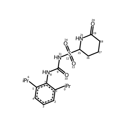 CC(C)c1cccc(C(C)C)c1NC(=O)NS(=O)(=O)C1CCCC(=O)N1